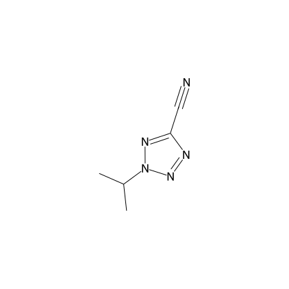 CC(C)n1nnc(C#N)n1